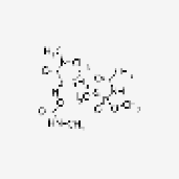 CNC(=O)ON=C(SC)C(=O)N(C)C.COP(=O)(NC(C)=O)SC